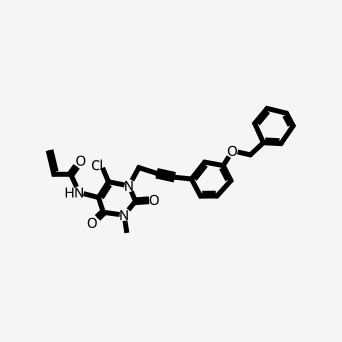 C=CC(=O)Nc1c(Cl)n(CC#Cc2cccc(OCc3ccccc3)c2)c(=O)n(C)c1=O